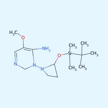 COC1=C(N)N(N2CCC2O[Si](C)(C)C(C)(C)C)CN=C1